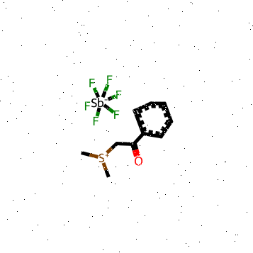 C[S+](C)CC(=O)c1ccccc1.[F][Sb-]([F])([F])([F])([F])[F]